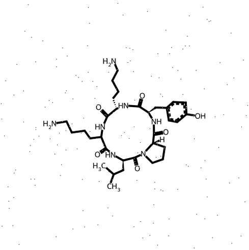 CC(C)C[C@H]1NC(=O)C(CCCCN)NC(=O)[C@H](CCCCN)NC(=O)[C@@H](Cc2ccc(O)cc2)NC(=O)[C@@H]2CCCN2C1=O